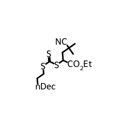 CCCCCCCCCCCCSC(=S)SC(CC(C)(C)C#N)C(=O)OCC